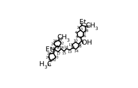 CC[C@@H]1CC2CCC(C(O)C3CCC(CCCCCC(CC)(C4=CCC(C)CC4)C4CCC(C)CC4)CC3)CC2C[C@@H]1C